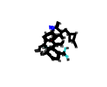 C=C(CC(C)(C)C)c1ccc(NC(=C)C(CC2CC(C)C2)C(=C)/C=C\C(=C/C)c2c(C(F)F)ccc(CC)c2F)cc1